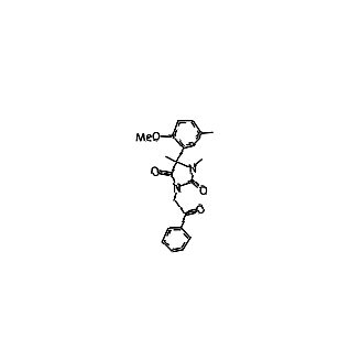 COc1ccc(C)cc1C1(C)C(=O)N(CC(=O)c2ccccc2)C(=O)N1C